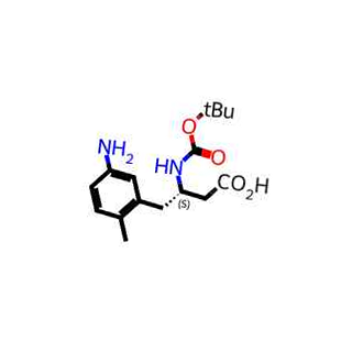 Cc1ccc(N)cc1C[C@@H](CC(=O)O)NC(=O)OC(C)(C)C